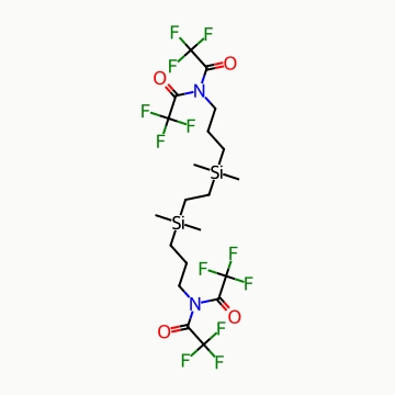 C[Si](C)(CCCN(C(=O)C(F)(F)F)C(=O)C(F)(F)F)CC[Si](C)(C)CCCN(C(=O)C(F)(F)F)C(=O)C(F)(F)F